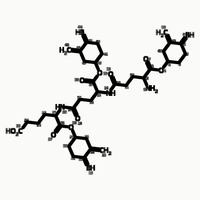 B=C1CCC(OC(=O)C(N)CCC(=O)NC(CCC(=O)NC(CCCC(=O)O)C(=O)OC2CCC(=B)C(=C)C2)C(=O)OC2CCC(=B)C(=C)C2)CC1=C